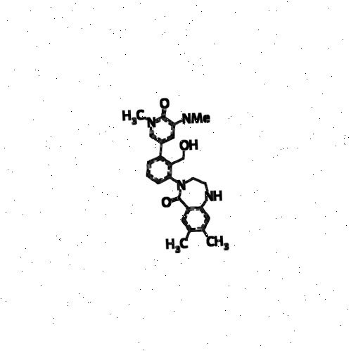 CNc1cc(-c2cccc(N3CCNc4cc(C)c(C)cc4C3=O)c2CO)cn(C)c1=O